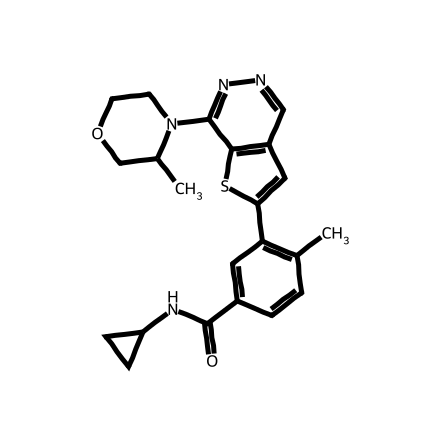 Cc1ccc(C(=O)NC2CC2)cc1-c1cc2cnnc(N3CCOCC3C)c2s1